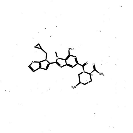 COc1cc(C(=O)N2CC(N)CC[C@@H]2C(N)=O)cc2nc(-c3cc4ccsc4n3CC3CC3)n(C)c12